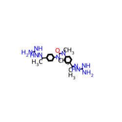 C/C(=N\NC(=N)N)c1ccc(N(C)C(=O)N(C)c2ccc(/C(C)=N/NC(=N)N)cc2)cc1